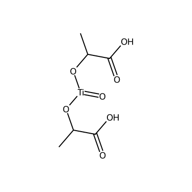 CC([O][Ti](=[O])[O]C(C)C(=O)O)C(=O)O